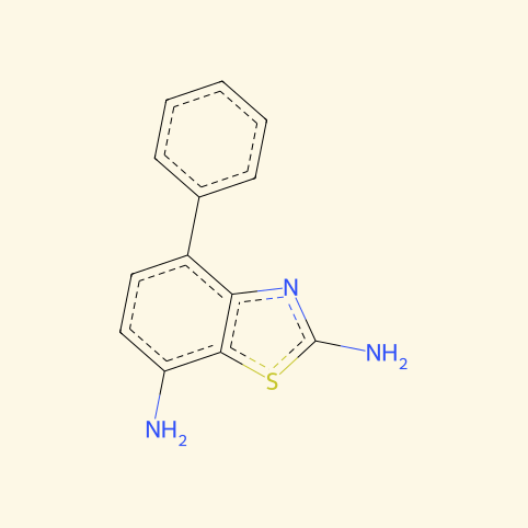 Nc1nc2c(-c3ccccc3)ccc(N)c2s1